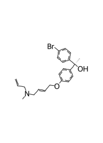 C=CCN(C)CC=CCOc1ccc([C@](C)(O)c2ccc(Br)cc2)cc1